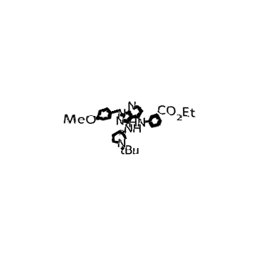 CCOC(=O)c1cccc(Nc2ccnc3c2c(N[C@@H]2CCCN(C(C)(C)C)C2)nn3Cc2ccc(OC)cc2)c1